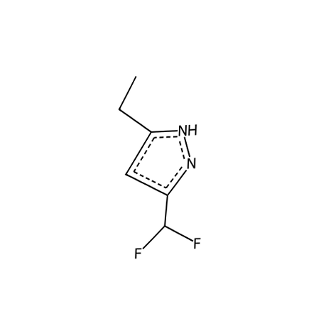 CCc1cc(C(F)F)n[nH]1